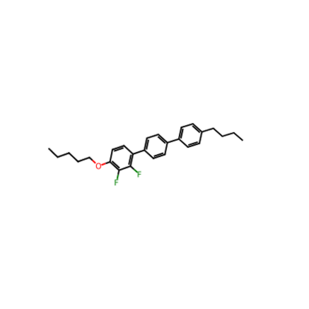 CCCCCOc1ccc(-c2ccc(-c3ccc(CCCC)cc3)cc2)c(F)c1F